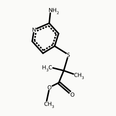 COC(=O)C(C)(C)Sc1ccnc(N)c1